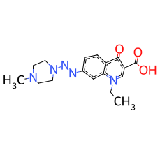 CCn1cc(C(=O)O)c(=O)c2ccc(N=NN3CCN(C)CC3)cc21